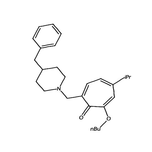 CCCCOc1cc(C(C)C)ccc(CN2CCC(Cc3ccccc3)CC2)c1=O